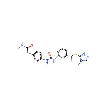 CC(Sc1nncn1C)c1cccc(NC(=O)Nc2ccc(CC(=O)N(C)C)cc2)c1